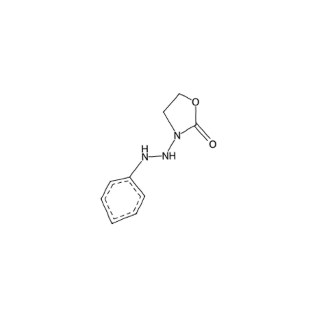 O=C1OCCN1NNc1ccccc1